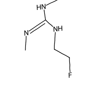 C/N=C(/NC)NCCF